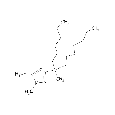 CCCCCCCC(C)(CCCCCC)c1cc(C)n(C)n1